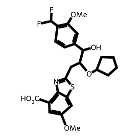 COc1cc(C(=O)O)c2nc(CC(OC3CCCC3)C(O)c3ccc(C(F)F)c(OC)c3)sc2c1